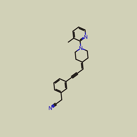 Cc1cccnc1N1CCC(=CC#Cc2cccc(CC#N)c2)CC1